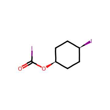 O=C(I)O[C@H]1CC[C@@H](I)CC1